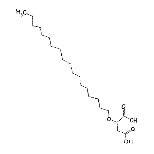 CCCCCCCCCCCCCCCCCCOC(CC(=O)O)C(=O)O